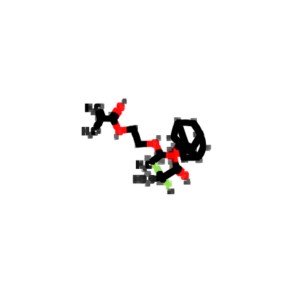 C=C(C)C(=O)OCCOC(C)OC12CC3CC(C1)C(OC(=O)C(F)(F)S(=O)(=O)O)C(C3)C2